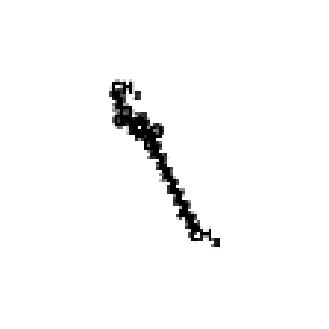 CCCCCCCCCCCCCCCCOC(=O)c1ccc(C(=O)OCCCC)cc1